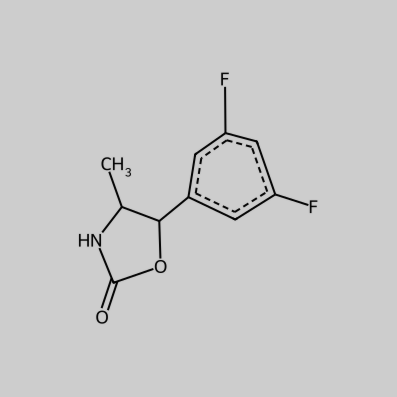 CC1NC(=O)OC1c1cc(F)cc(F)c1